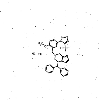 COc1ccc(-n2nnnc2C(F)(F)F)cc1CN1Cc2nccn2C(C(c2ccccc2)c2ccccc2)C1.Cl.Cl